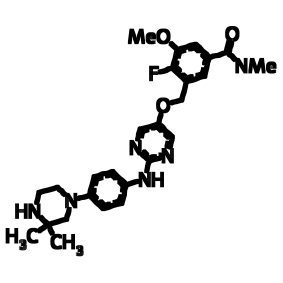 CNC(=O)c1cc(COc2cnc(Nc3ccc(N4CCNC(C)(C)C4)cc3)nc2)c(F)c(OC)c1